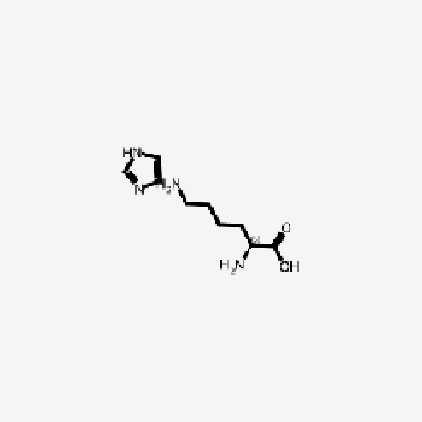 NCCCC[C@H](N)C(=O)O.c1c[nH]cn1